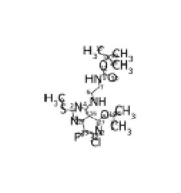 CSc1nc(NCCNC(=O)OC(C)(C)C)c2c(OC(C)C)nc(Cl)c(F)c2n1